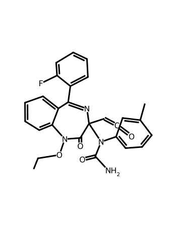 CCON1C(=O)C(C=C=O)(N(C(N)=O)c2cccc(C)c2)N=C(c2ccccc2F)c2ccccc21